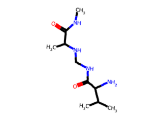 CNC(=O)C(C)NCNC(=O)C(N)C(C)C